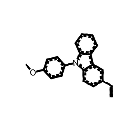 C=Cc1ccc2c(c1)c1ccccc1n2-c1ccc(OC)cc1